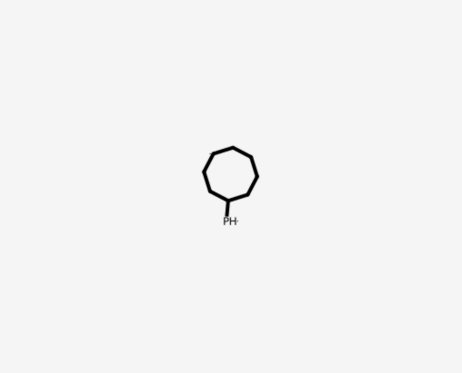 [PH]C1CC[CH]CCCC1